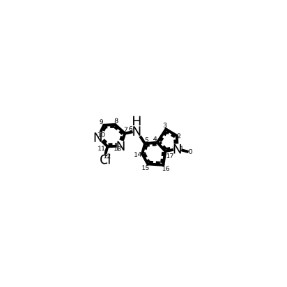 Cn1ccc2c(Nc3ccnc(Cl)n3)cccc21